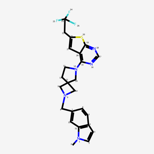 Cn1ccc2ccc(CN3CC4(CCN(c5ncnc6sc(CC(F)(F)F)cc56)C4)C3)cc21